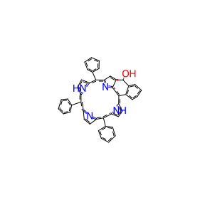 CC(O)c1ccccc1-c1c2nc(c(-c3ccccc3)c3ccc([nH]3)c(-c3ccccc3)c3nc(c(-c4ccccc4)c4ccc1[nH]4)C=C3)C=C2